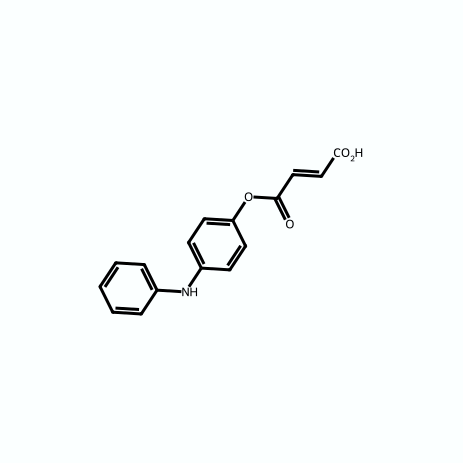 O=C(O)C=CC(=O)Oc1ccc(Nc2ccccc2)cc1